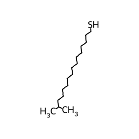 CC(C)CCCCCCCCCCCCCCS